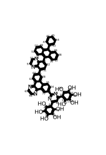 Oc1c(O)c(O)c(-c2cc(-c3c(O)c(O)c(O)c(O)c3O)nc(-c3ccc4c5cc(-c6ccc(-c7c8ccccc8c(-c8ccccc8)c8ccccc78)c7nccnc67)ccc5c5nccnc5c4c3)n2)c(O)c1O